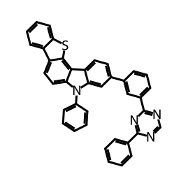 c1ccc(-c2ncnc(-c3cccc(-c4ccc5c6c7sc8ccccc8c7ccc6n(-c6ccccc6)c5c4)c3)n2)cc1